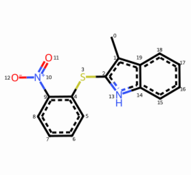 Cc1c(Sc2ccccc2[N+](=O)[O-])[nH]c2ccccc12